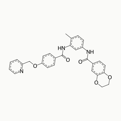 Cc1ccc(NC(=O)c2ccc3c(c2)OCCO3)cc1NC(=O)c1ccc(OCc2ccccn2)cc1